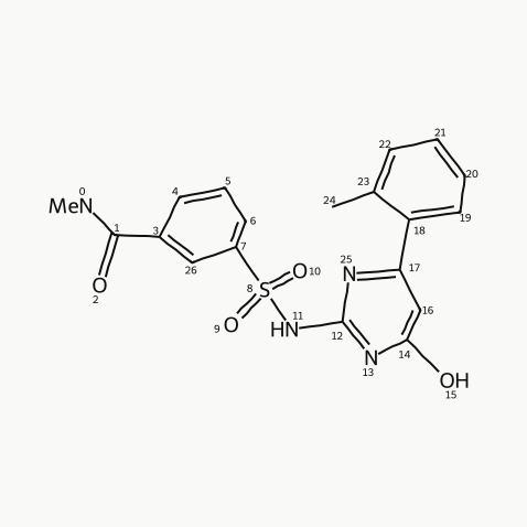 CNC(=O)c1cccc(S(=O)(=O)Nc2nc(O)cc(-c3ccccc3C)n2)c1